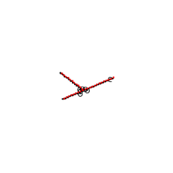 CCCCCCCCCCCCCCCCCCCCCCCC(=O)OC[C@H](COC(=O)CCCCCCCCCCCCCCC)OC(=O)CCCCCCCCCCCCCCCCCCCCC